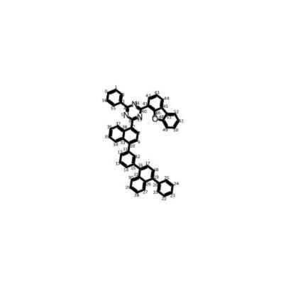 c1ccc(-c2nc(-c3ccc(-c4cccc(-c5ccc(-c6ccccc6)c6ccccc56)c4)c4ccccc34)nc(-c3cccc4c3oc3ccccc34)n2)cc1